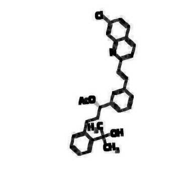 CC(=O)O[C@@H](CCc1ccccc1C(C)(C)O)c1cccc(/C=C/c2ccc3ccc(Cl)cc3n2)c1